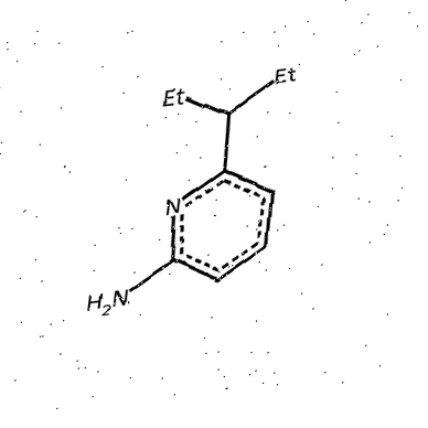 CCC(CC)c1cccc(N)n1